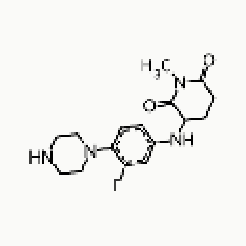 CN1C(=O)CCC(Nc2ccc(N3CCNCC3)c(F)c2)C1=O